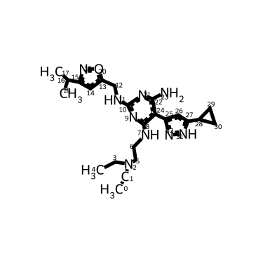 CCN(CC)CCNc1nc(NCc2cc(C(C)C)no2)nc(N)c1-c1cc(C2CC2)[nH]n1